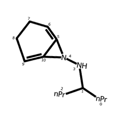 CCCC(CCC)NN1C2=CCCC=C21